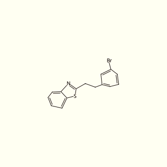 Brc1cccc(CCc2nc3ccccc3s2)c1